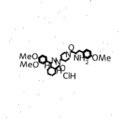 COc1ccc(C[C@@H](N)C(=O)N2CCC(N3N=C(c4ccc(OC)c(OC)c4)[C@H]4CCCC[C@H]4C3=O)CC2)cc1.Cl